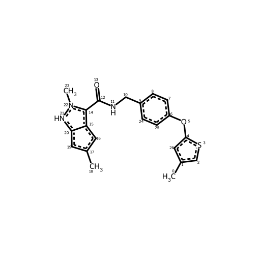 Cc1csc(Oc2ccc(CNC(=O)c3c4cc(C)cc-4[nH]n3C)cc2)c1